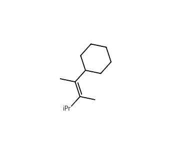 CC(=C(C)C1CCCCC1)C(C)C